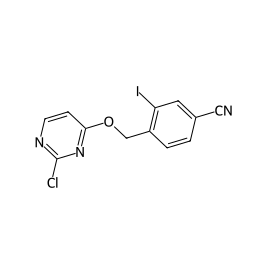 N#Cc1ccc(COc2ccnc(Cl)n2)c(I)c1